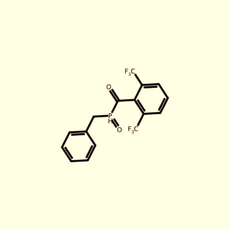 O=C(c1c(C(F)(F)F)cccc1C(F)(F)F)[PH](=O)Cc1ccccc1